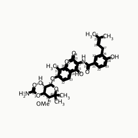 CO[C@@H]1C(OC(N)=O)[C@H](O)[C@H](Oc2ccc3c(O)c(NC(=O)c4ccc(O)c(CC=C(C)C)c4)c(=O)oc3c2C)OC1(C)C